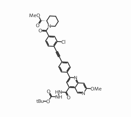 COC(=O)[C@@H]1CCCCN1C(=O)c1ccc(C#Cc2ccc(-c3cc(C(=O)NNC(=O)OC(C)(C)C)c4cnc(OC)cc4n3)cc2)c(Cl)c1